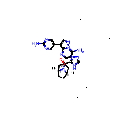 Nc1ncc(-c2cnn3c(N)cc([C@@H]4C[C@H]5CC[C@@H](C4)N5C(=O)c4nnc[nH]4)nc23)cn1